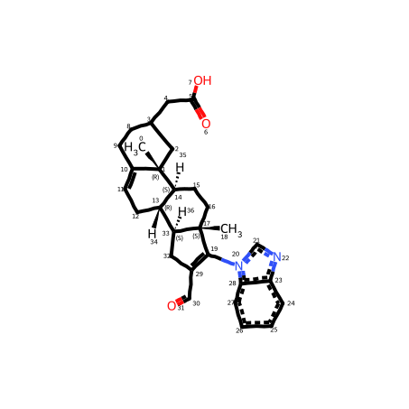 C[C@]12CC(CC(=O)O)CCC1=CC[C@@H]1[C@@H]2CC[C@]2(C)C(n3cnc4ccccc43)=C(C=O)C[C@@H]12